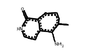 Cc1ccc2c(=O)[nH]ccc2c1N